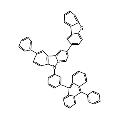 c1ccc(-c2ccc3c(c2)c2cc(-c4ccc5sc6ccccc6c5c4)ccc2n3-c2cccc(-c3c4ccccc4c(-c4ccccc4)c4ccccc34)c2)cc1